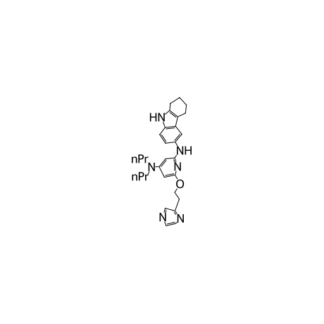 CCCN(CCC)c1cc(Nc2ccc3[nH]c4c(c3c2)CCCC4)nc(OCCc2cnccn2)c1